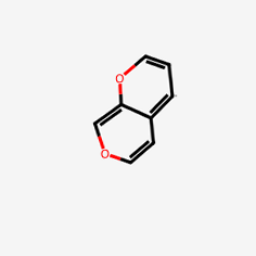 [C]1=C2C=COC=C2OC=C1